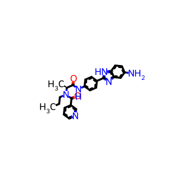 CCCN(C(=O)c1cccnc1)[C@@H](C)C(=O)Nc1ccc(-c2nc3cc(N)ccc3[nH]2)cc1